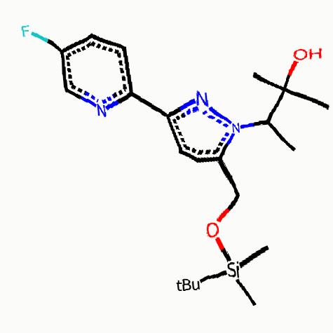 CC(n1nc(-c2ccc(F)cn2)cc1CO[Si](C)(C)C(C)(C)C)C(C)(C)O